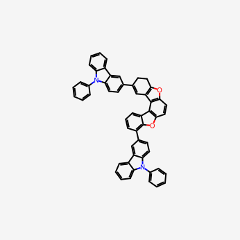 C1=C(c2ccc3c(c2)c2ccccc2n3-c2ccccc2)CCc2oc3ccc4oc5c(-c6ccc7c(c6)c6ccccc6n7-c6ccccc6)cccc5c4c3c21